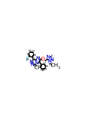 CCn1ncnc1COc1nc2c(-c3ccccc3F)nnc(C)n2c1-c1ccccc1